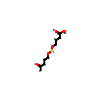 CC(=O)CCCOSOCCCC(=O)O